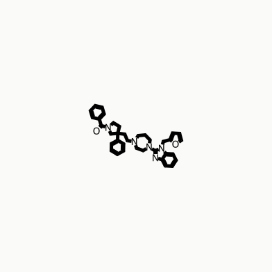 O=C(c1ccccc1)N1CCC(CCN2CCCN(c3nc4ccccc4n3Cc3ccco3)CC2)(c2ccccc2)C1